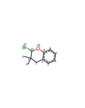 CC1(C)Cc2ccccc2OC1Br